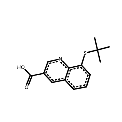 CC(C)(C)Sc1cccc2cc(C(=O)O)cnc12